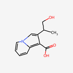 CC(CO)c1cn2ccccc2c1C(=O)O